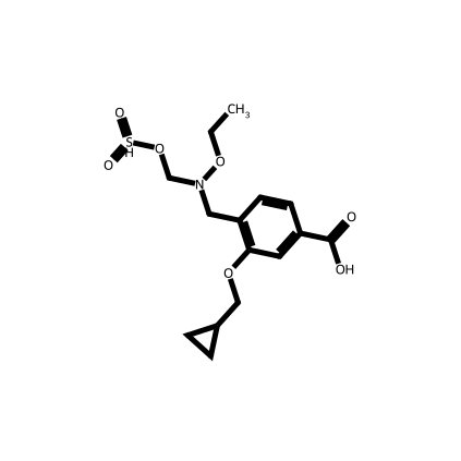 CCON(CO[SH](=O)=O)Cc1ccc(C(=O)O)cc1OCC1CC1